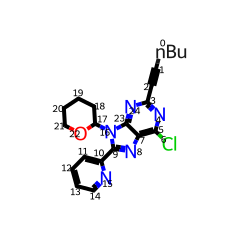 CCCCC#Cc1nc(Cl)c2nc(-c3ccccn3)n(C3CCCCO3)c2n1